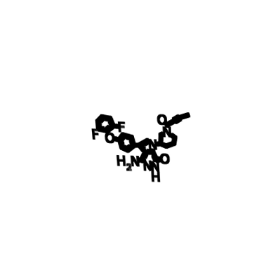 CC#CC(=O)N1CCCC(n2cc(-c3ccc(Oc4c(F)cccc4F)cc3)c3c(N)n[nH]c(=O)c32)C1